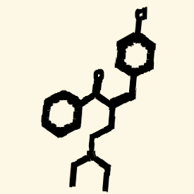 CCN(CC)CCC(=Cc1ccc(Cl)cc1)C(=O)c1ccccc1